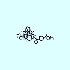 C=C(O)C12CCC(C(=O)N3CCC4(S(=O)(=O)c5ccccn5)c5ccc(C(F)(C(F)(F)F)C(F)(F)F)cc5CCC34)(CC1)CC2